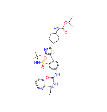 CC[C@H](NC(=O)Nc1ccc(-c2cnc([C@H]3CC[C@H](NC(=O)OC(C)C)CC3)s2)c(S(=O)(=O)NC(C)(C)C)c1)c1ccccn1